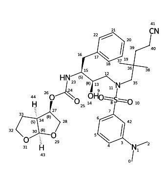 CN(C)c1cccc(S(=O)(=O)N(C[C@@H](O)[C@H](Cc2ccccc2)NC(=O)O[C@H]2CO[C@H]3OCC[C@H]32)CC(C)(C)CCC#N)c1